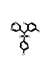 O=S(=O)(c1ccc(Cl)cc1)C(c1cncnc1)c1cc(F)ccc1F